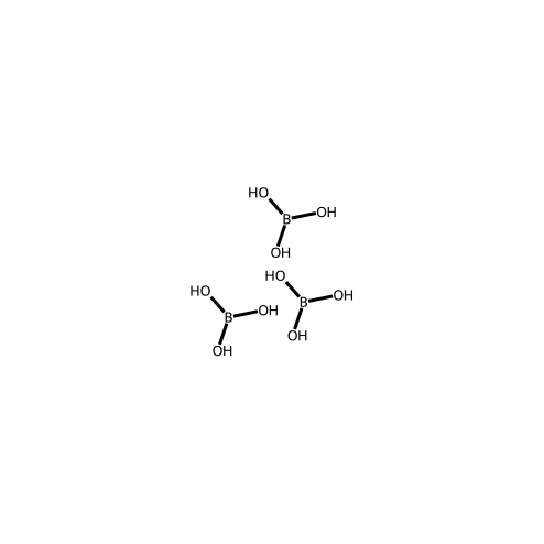 OB(O)O.OB(O)O.OB(O)O